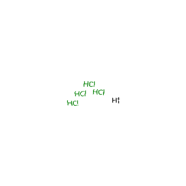 Cl.Cl.Cl.Cl.[Hf]